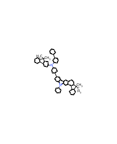 CC1(C)c2ccccc2-c2ccc(N(c3ccc(-c4ccc5c(c4)c4cc6ccc7c(c6cc4n5-c4ccccc4)-c4ccccc4C7(C)C)cc3)c3cccc(-c4ccccc4)c3)cc21